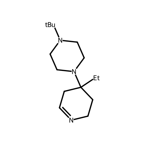 CCC1(N2CCN(C(C)(C)C)CC2)CC=NCC1